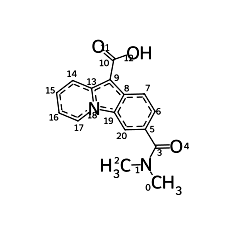 CN(C)C(=O)c1ccc2c(C(=O)O)c3ccccn3c2c1